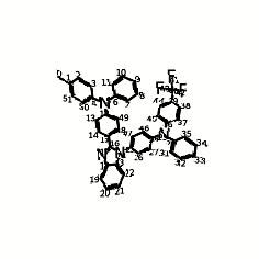 Cc1ccc(N(c2ccccc2)c2ccc(-c3nc4ccccc4n3-c3ccc(N(c4ccccc4)c4ccc(C(F)(F)F)cc4)cc3)cc2)cc1